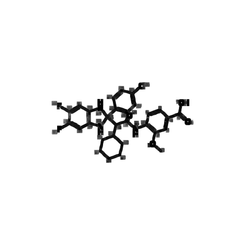 COc1cc(C(=O)O)ccc1NC(=O)C(C1CCCCC1)C1(c2ccc(Cl)cc2)Nc2cc(F)c(F)cc2N1